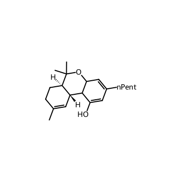 CCCCCC1=CC2OC(C)(C)[C@@H]3CCC(C)=C[C@H]3C2C(O)=C1